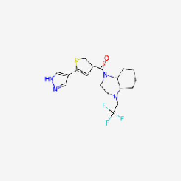 O=C(C1C=C(c2cn[nH]c2)SC1)N1CCN(CC(F)(F)F)C2CCCCC21